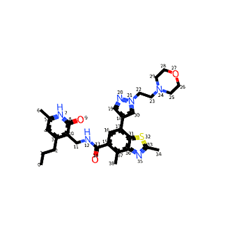 CCCc1cc(C)[nH]c(=O)c1CNC(=O)c1cc(-c2cnn(CCN3CCOCC3)c2)c2sc(C)nc2c1C